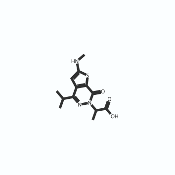 CNc1cc2c(C(C)C)nn(C(C)C(=O)O)c(=O)c2s1